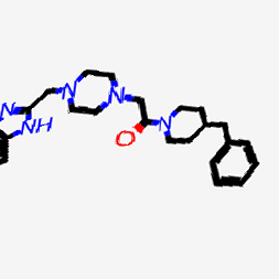 O=C(CN1CCN(Cc2nc3ccccc3[nH]2)CC1)N1CCC(Cc2ccccc2)CC1